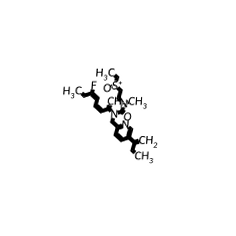 C=C(CC)c1ccc(CN(C(=C)/C=C\C=C(\F)CC)C(=O)N(C)CC[S+]([O-])CC)nc1